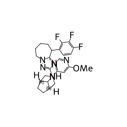 COc1cc(N2C[C@H]3CC[C@H](C2)C3Nc2nc3n(n2)CCCCC3c2ccc(F)c(F)c2F)ncn1